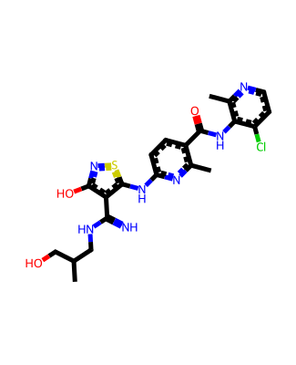 Cc1nc(Nc2snc(O)c2C(=N)NCC(C)CO)ccc1C(=O)Nc1c(Cl)ccnc1C